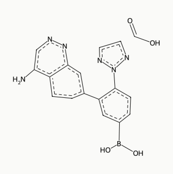 Nc1cnnc2cc(-c3cc(B(O)O)ccc3-n3nccn3)ccc12.O=CO